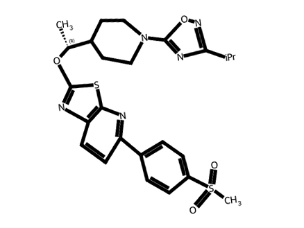 CC(C)c1noc(N2CCC([C@@H](C)Oc3nc4ccc(-c5ccc(S(C)(=O)=O)cc5)nc4s3)CC2)n1